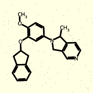 COc1ccc(N2Cc3cnccc3C2C)cc1OC1Cc2ccccc2C1